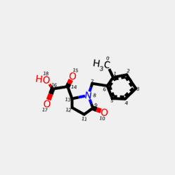 Cc1ccccc1CN1C(=O)CCC1C(=O)C(=O)O